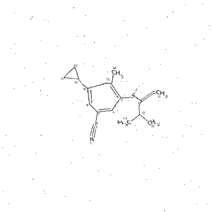 C=C(Sc1cc(C#N)cc(C2CC2)c1C)C(C)C